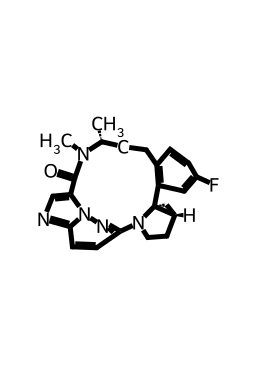 C[C@@H]1CCc2ccc(F)cc2[C@@]23C[C@@H]2CCN3c2ccc3ncc(n3n2)C(=O)N1C